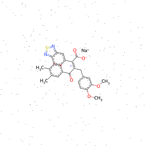 COc1ccc(C/C(C(=O)c2ccc(C)c(C)c2)=C(\C(=O)[O-])c2ccc3nsnc3c2)cc1OC.[Na+]